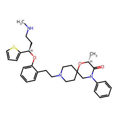 CNCC[C@@H](Oc1ccccc1CCN1CCC2(CC1)CN(c1ccccc1)C(=O)[C@@H](C)O2)c1cccs1